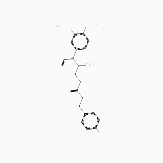 C=CC(c1ccc(OC)c(OC)c1)C(N)CCC(=O)CCc1ccc(C)cc1